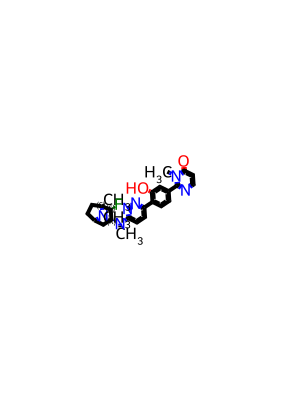 CN(c1ccc(-c2ccc(-c3nccc(=O)n3C)cc2O)nn1)[C@@H]1CC2CC[C@@](C)([C@H]1F)N2C